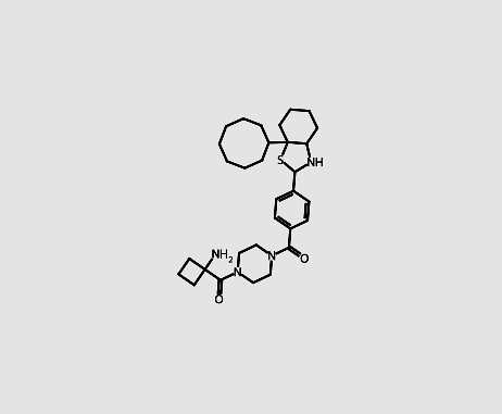 NC1(C(=O)N2CCN(C(=O)c3ccc(C4NC5CCCCC5(C5CCCCCCC5)S4)cc3)CC2)CCC1